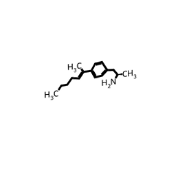 CCCCC=C(C)c1ccc(C[C@@H](C)N)cc1